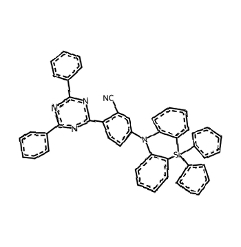 N#Cc1cc(N2c3ccccc3[Si](c3ccccc3)(c3ccccc3)c3ccccc32)ccc1-c1nc(-c2ccccc2)nc(-c2ccccc2)n1